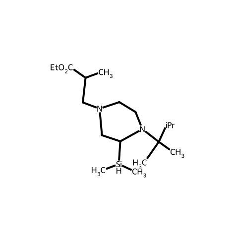 CCOC(=O)C(C)CN1CCN(C(C)(C)C(C)C)C([SiH](C)C)C1